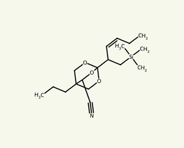 CC/C=C\C(C[Si](C)(C)C)C12OCC(CCC)(CO1)C(C#N)O2